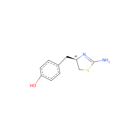 NC1=N[C@H](Cc2ccc(O)cc2)CS1